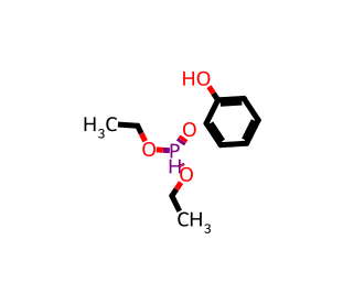 CCO[PH](=O)OCC.Oc1ccccc1